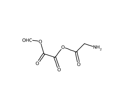 NCC(=O)OC(=O)C(=O)OC=O